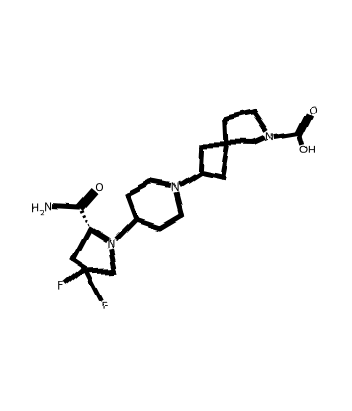 NC(=O)[C@H]1CC(F)(F)CN1C1CCN(C2CC3(CCN(C(=O)O)C3)C2)CC1